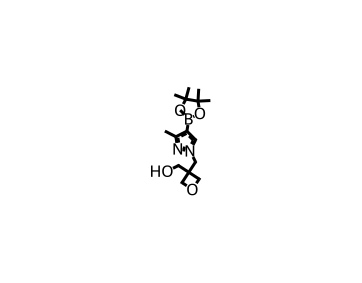 Cc1nn(CC2(CO)COC2)cc1B1OC(C)(C)C(C)(C)O1